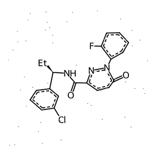 CC[C@@H](NC(=O)c1ccc(=O)n(-c2ccccc2F)n1)c1cccc(Cl)c1